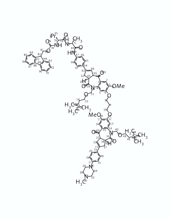 COc1cc2c(cc1OCCCOc1cc3c(cc1OC)C(=O)C1C=C(c4ccc(N5CCN(C)CC5)cc4)C[C@H]1C(=O)N3COCC[Si](C)(C)C)N(COCC[Si](C)(C)C)C(=O)[C@@H]1CC(c3ccc(NC(=O)[C@H](C)NC(=O)[C@@H](NC(=O)OCC4c5ccccc5-c5ccccc54)C(C)C)cc3)=CC1C2=O